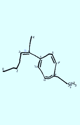 CC/C=C(/C)c1ccc([SiH3])cc1